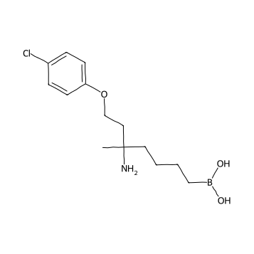 CC(N)(CCCCB(O)O)CCOc1ccc(Cl)cc1